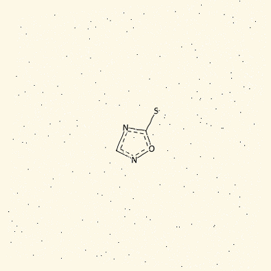 [S]c1ncno1